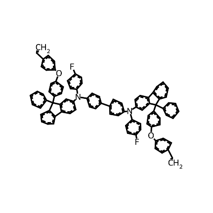 C=Cc1ccc(Oc2ccc(C3(c4ccccc4)c4ccccc4-c4ccc(N(c5ccc(F)cc5)c5ccc(-c6ccc(N(c7ccc(F)cc7)c7ccc8c(c7)C(c7ccccc7)(c7ccc(Oc9ccc(C=C)cc9)cc7)c7ccccc7-8)cc6)cc5)cc43)cc2)cc1